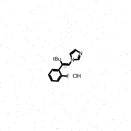 CC(C)(C)/C(=C\n1ccnc1)c1ccccc1F.Cl